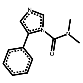 CN(C)C(=O)n1cncc1-c1ccccc1